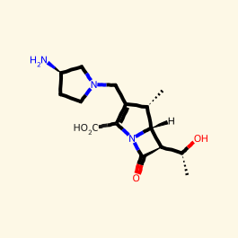 C[C@@H](O)[C@H]1C(=O)N2C(C(=O)O)=C(CN3CC[C@@H](N)C3)[C@H](C)[C@H]12